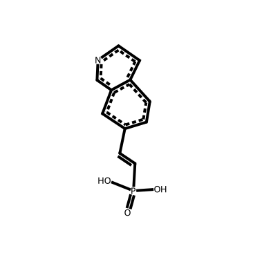 O=P(O)(O)/C=C/c1ccc2ccncc2c1